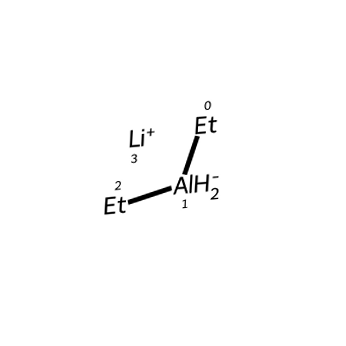 C[CH2][AlH2-][CH2]C.[Li+]